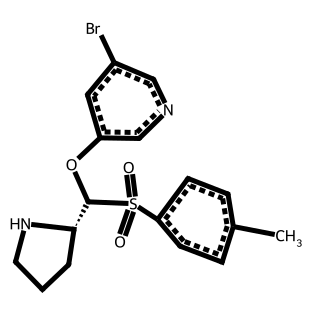 Cc1ccc(S(=O)(=O)C(Oc2cncc(Br)c2)[C@@H]2CCCN2)cc1